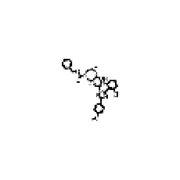 COc1ccc(-c2nc3c4c(Cl)cccc4nc(N[C@@H]4CN(C(=O)OCc5ccccc5)CCNC4O)n3n2)cc1